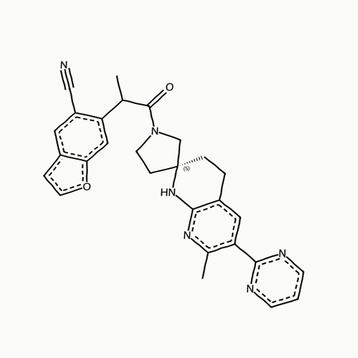 Cc1nc2c(cc1-c1ncccn1)CC[C@@]1(CCN(C(=O)C(C)c3cc4occc4cc3C#N)C1)N2